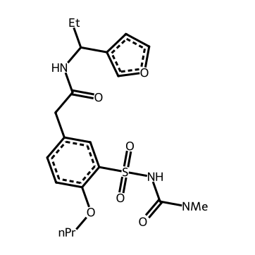 CCCOc1ccc(CC(=O)NC(CC)c2ccoc2)cc1S(=O)(=O)NC(=O)NC